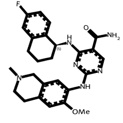 COc1cc2c(cc1Nc1ncc(C(N)=O)c(N[C@H]3CCCc4cc(F)ccc43)n1)CN(C)CC2